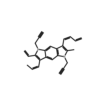 C#CCn1c(C)c(/C=C\C=C)c2cc3c(cc21)c(/C=C\C)c(C=C)n3CC#C